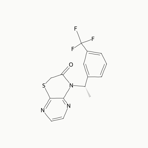 C[C@@H](c1cccc(C(F)(F)F)c1)N1C(=O)CSc2nccnc21